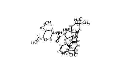 CO[C@@H]1C[C@@H](NC(=O)[C@@H]2NC3(CCC(C)(C)CC3)[C@@]3(C(=O)Nc4cc(Cl)ccc43)[C@H]2c2ccnc(Cl)c2F)CO[C@@H]1CO